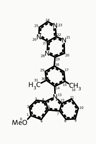 COc1ccc2c(c1)c1ccccc1n2-c1c(C)cc(-c2cnc3nccnc3n2)cc1C